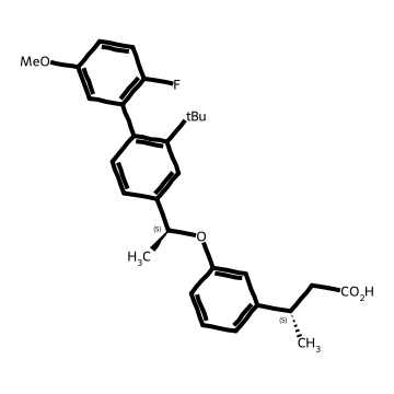 COc1ccc(F)c(-c2ccc([C@H](C)Oc3cccc([C@@H](C)CC(=O)O)c3)cc2C(C)(C)C)c1